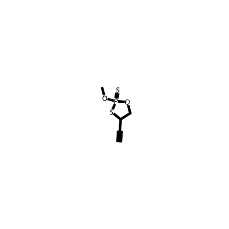 C#CC1COP(=S)(OC)S1